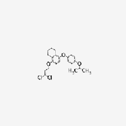 CC(C)Oc1ccc(Oc2ccc(OCC=C(Cl)Cl)c3c2CCCC3)cc1